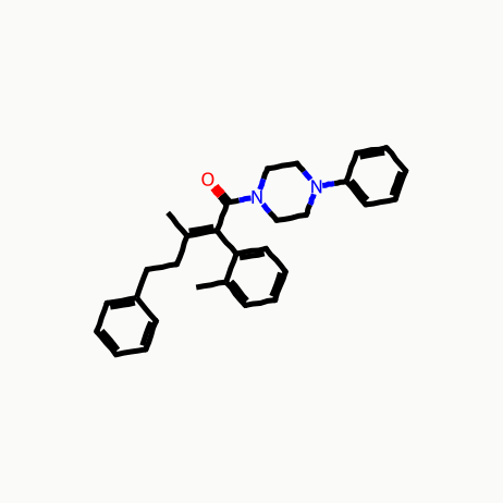 C/C(CCc1ccccc1)=C(\C(=O)N1CCN(c2ccccc2)CC1)c1ccccc1C